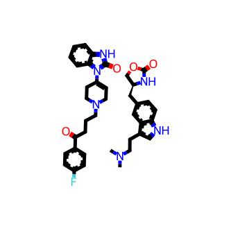 CN(C)CCc1c[nH]c2ccc(C[C@H]3COC(=O)N3)cc12.O=C(CCCN1CC=C(n2c(=O)[nH]c3ccccc32)CC1)c1ccc(F)cc1